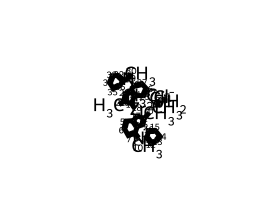 CC1=Cc2c(cccc2N(C)c2ccccc2)[CH]1[Zr+2][CH]1C(C)=Cc2c1cccc2N(C)c1ccccc1.C[SiH2]C.[Cl-].[Cl-]